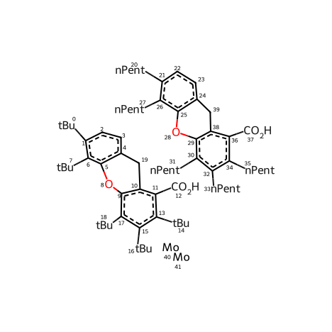 CC(C)(C)c1ccc2c(c1C(C)(C)C)Oc1c(c(C(=O)O)c(C(C)(C)C)c(C(C)(C)C)c1C(C)(C)C)C2.CCCCCc1ccc2c(c1CCCCC)Oc1c(CCCCC)c(CCCCC)c(CCCCC)c(C(=O)O)c1C2.[Mo].[Mo]